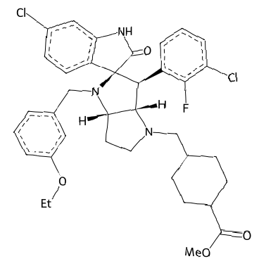 CCOc1cccc(CN2[C@H]3CCN(CC4CCC(C(=O)OC)CC4)[C@H]3[C@H](c3cccc(Cl)c3F)[C@]23C(=O)Nc2cc(Cl)ccc23)c1